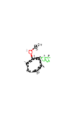 [B+2]Oc1ccccc1.[Cl-].[Cl-]